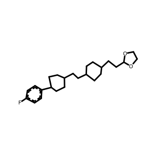 Fc1ccc(C2CCC(CCC3CCC(CCC4OCCO4)CC3)CC2)cc1